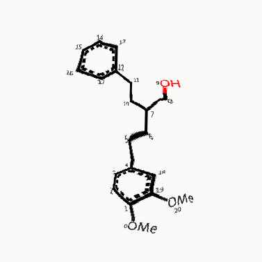 COc1ccc(CCC(CO)CCc2ccccc2)cc1OC